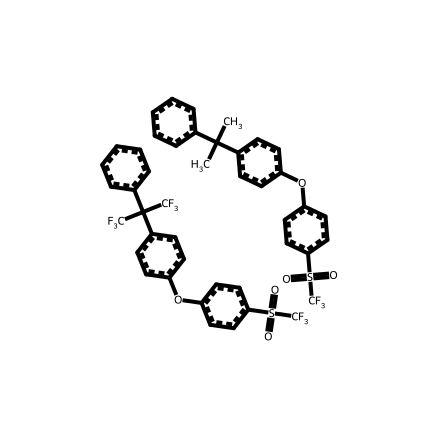 CC(C)(c1ccccc1)c1ccc(Oc2ccc(S(=O)(=O)C(F)(F)F)cc2)cc1.O=S(=O)(c1ccc(Oc2ccc(C(c3ccccc3)(C(F)(F)F)C(F)(F)F)cc2)cc1)C(F)(F)F